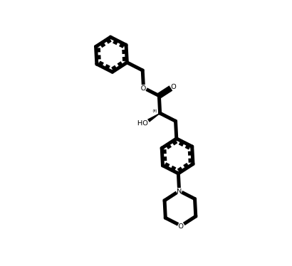 O=C(OCc1ccccc1)[C@H](O)Cc1ccc(N2CCOCC2)cc1